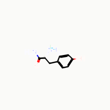 Cl.NC(=O)[C@H](N)Cc1ccc(O)cc1